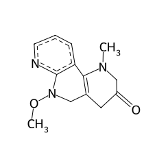 CON1CC2=C(c3cccnc31)N(C)CC(=O)C2